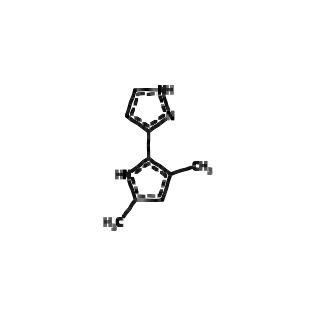 Cc1cc(C)c(-c2cc[nH]n2)[nH]1